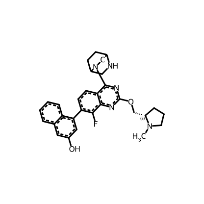 CN1CCC[C@H]1COc1nc(N2CC3CCC2CN3)c2ccc(-c3cc(O)cc4ccccc34)c(F)c2n1